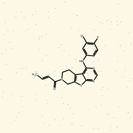 C/C=C/C(=O)N1CCc2c(sc3ncnc(Nc4ccc(F)c(Cl)c4)c23)C1